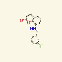 O=c1ccc2cccc(NCc3cccc(F)c3)c2o1